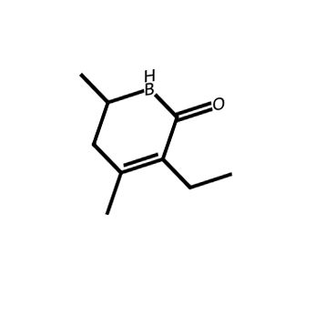 CCC1=C(C)CC(C)BC1=O